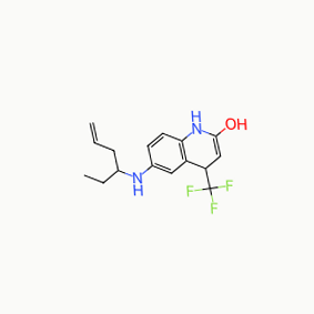 C=CCC(CC)Nc1ccc2c(c1)C(C(F)(F)F)C=C(O)N2